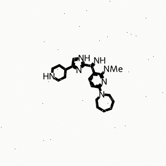 CNc1nc(N2CCCCCC2)ccc1C(=N)c1nc(C2CCNCC2)c[nH]1